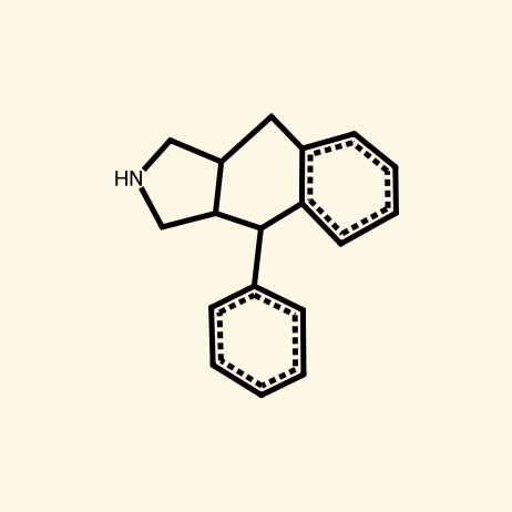 c1ccc(C2c3ccccc3CC3CNCC32)cc1